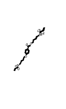 C=CC(=O)NCCCCOCC(=O)c1ccc(OCCCCNC(=O)C=C)cc1